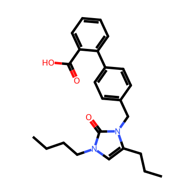 CCCCn1cc(CCC)n(Cc2ccc(-c3ccccc3C(=O)O)cc2)c1=O